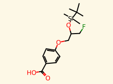 CC(C)(C)[Si](C)(C)OC(CF)COc1ccc(C(=O)O)cc1